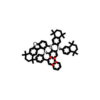 CC1(C)CCC(C)(C)c2cc(N3c4cc5c(cc4B4c6ccc7oc8cc9c(cc8c7c6N(c6ccccc6-c6ccccc6)c6cc(-c7ccccc7)cc3c64)C(C)(C)CCC9(C)C)C(C)(C)CCC5(C)C)ccc21